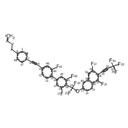 C=CCCc1ccc(C#Cc2ccc(-c3cc(F)c(C(F)(F)Oc4ccc5c(F)c(C#CC(F)(F)F)c(F)cc5c4)c(F)c3)c(F)c2)cc1